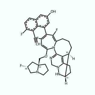 C#Cc1c(F)ccc2cc(O)cc(C3=C(F)C=C(OC[C@@]45CCCN4C[C@H](F)C5)N4C5=NCN6N[C@H]7CCC6=C5[C@H]7CCCC4=C3F)c12